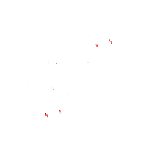 CN1C(=O)C23CC4(C56CC78SSC(C)(C(=O)N7C5Nc5ccccc56)N(C)C8=O)c5ccccc5NC4N2C(=O)C1(C)SS3